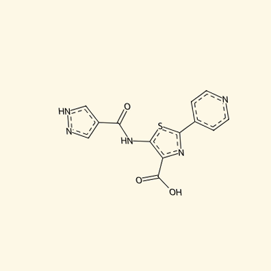 O=C(Nc1sc(-c2ccncc2)nc1C(=O)O)c1cn[nH]c1